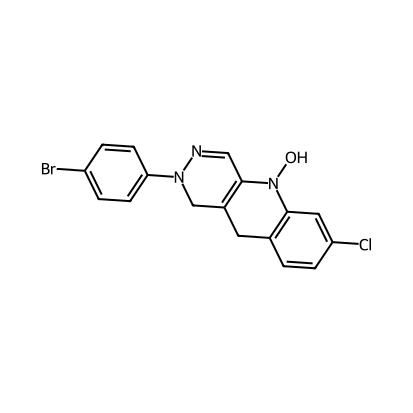 ON1C2=C(Cc3ccc(Cl)cc31)CN(c1ccc(Br)cc1)N=C2